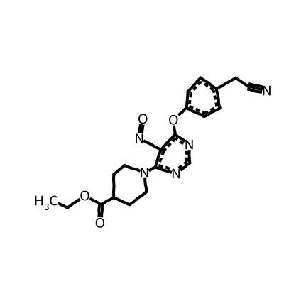 CCOC(=O)C1CCN(c2ncnc(Oc3ccc(CC#N)cc3)c2N=O)CC1